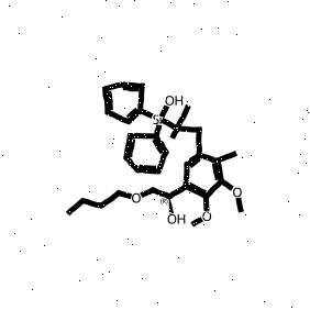 CCCCOC[C@H](O)c1cc(CC(C)(C)[Si](O)(c2ccccc2)c2ccccc2)c(C)c(OC)c1OC